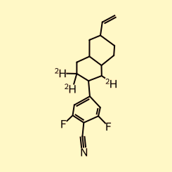 [2H]C1C2CCC(C=C)CC2CC([2H])([2H])C1c1cc(F)c(C#N)c(F)c1